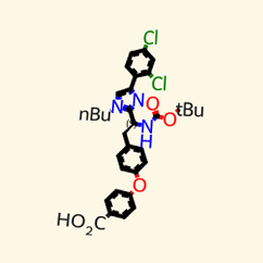 CCCCn1cc(-c2ccc(Cl)cc2Cl)nc1[C@H](Cc1ccc(Oc2ccc(C(=O)O)cc2)cc1)NC(=O)OC(C)(C)C